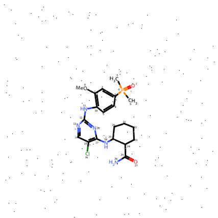 COc1cc(P(C)(C)=O)ccc1Nc1ncc(Cl)c(NC2CCCCC2C(N)=O)n1